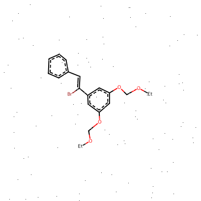 CCOCOc1cc(OCOCC)cc(C(Br)=Cc2c[c]ccc2)c1